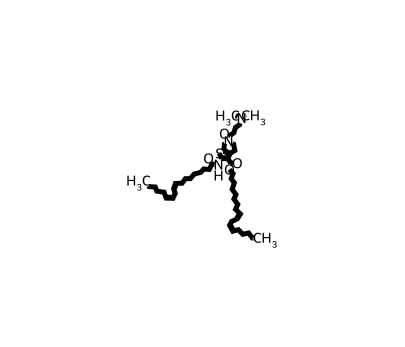 CCCCC/C=C\C/C=C\CCCCCCCCOC(=O)c1c(NC(=O)CCCCCCC/C=C\C/C=C\CCCCC)sc2c1CCN(C(=O)CCCN(C)C)C2